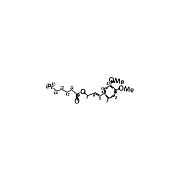 COc1ccc(C=CCOC(=O)CCCCC(C)C)cc1OC